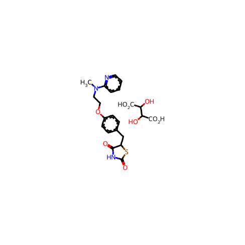 CN(CCOc1ccc(CC2SC(=O)NC2=O)cc1)c1ccccn1.O=C(O)C(O)C(O)C(=O)O